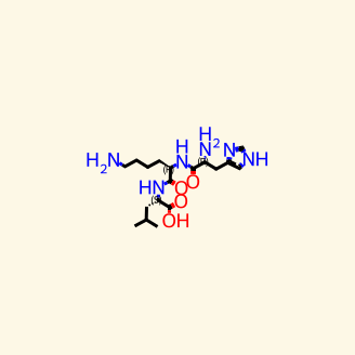 CC(C)C[C@H](NC(=O)[C@@H](CCCCN)NC(=O)[C@H](N)Cc1c[nH]cn1)C(=O)O